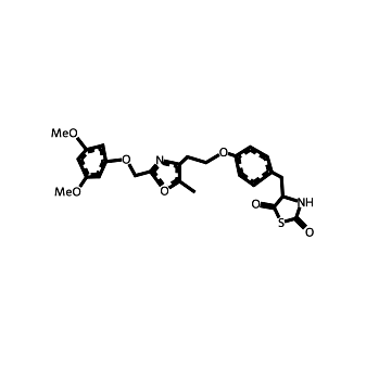 COc1cc(OC)cc(OCc2nc(CCOc3ccc(CC4NC(=O)SC4=O)cc3)c(C)o2)c1